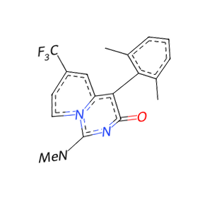 CNc1nc(=O)c(-c2c(C)cccc2C)c2cc(C(F)(F)F)ccn12